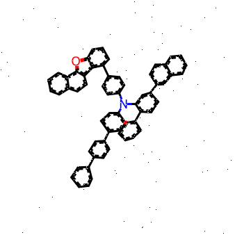 c1ccc(-c2ccc(-c3ccc(N(c4ccc(-c5cccc6oc7c8ccccc8ccc7c56)cc4)c4cc(-c5ccc6ccccc6c5)ccc4-c4ccccc4)cc3)cc2)cc1